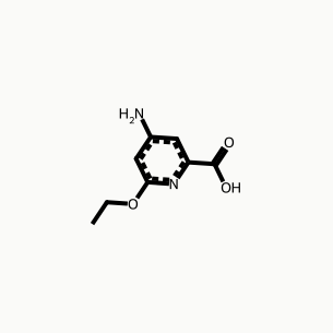 CCOc1cc(N)cc(C(=O)O)n1